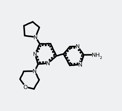 Nc1ncc(-c2cc(N3CCCC3)nc(N3CCOCC3)n2)cn1